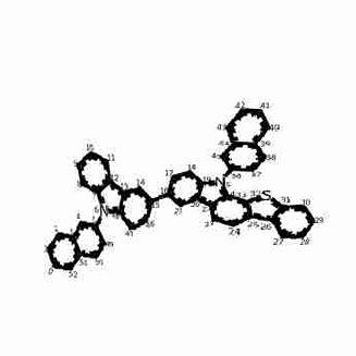 c1ccc2cc(-n3c4ccccc4c4cc(-c5ccc6c(c5)c5ccc7c8ccccc8sc7c5n6-c5ccc6ccccc6c5)ccc43)ccc2c1